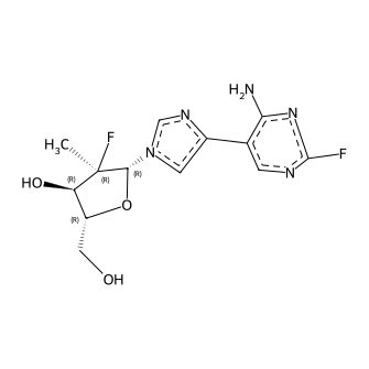 C[C@@]1(F)[C@H](O)[C@@H](CO)O[C@H]1n1cnc(-c2cnc(F)nc2N)c1